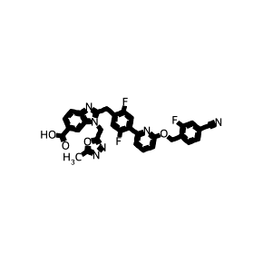 Cc1nnc(Cn2c(Cc3cc(F)c(-c4cccc(OCc5ccc(C#N)cc5F)n4)cc3F)nc3ccc(C(=O)O)cc32)o1